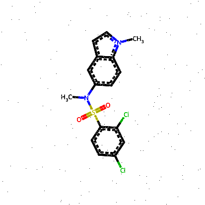 CN(c1ccc2c(ccn2C)c1)S(=O)(=O)c1ccc(Cl)cc1Cl